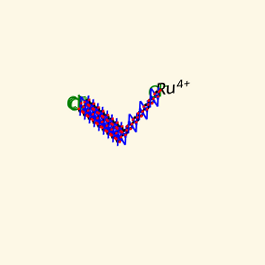 [Cl-].[Cl-].[Cl-].[Cl-].[Ru+4].c1ccc(-c2ccccn2)nc1.c1ccc(-c2ccccn2)nc1.c1ccc(-c2ccccn2)nc1.c1ccc(-c2ccccn2)nc1.c1ccc(-c2ccccn2)nc1.c1ccc(-c2ccccn2)nc1.c1ccc(-c2ccccn2)nc1.c1ccc(-c2ccccn2)nc1.c1ccc(-c2ccccn2)nc1.c1ccc(-c2ccccn2)nc1.c1ccc(-c2ccccn2)nc1.c1ccc(-c2ccccn2)nc1